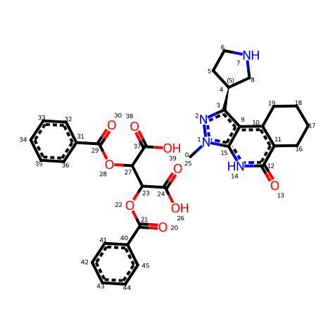 Cn1nc([C@H]2CCNC2)c2c3c(c(=O)[nH]c21)CCCC3.O=C(OC(C(=O)O)C(OC(=O)c1ccccc1)C(=O)O)c1ccccc1